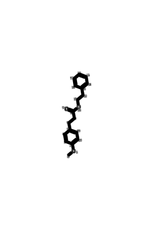 COc1ccc(CCC(=O)OCCc2ccccc2)cc1